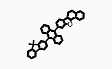 CC1(C)c2ccccc2-c2ccc(-c3c4ccccc4c(-c4ccc5c(c4)oc4c6ccccc6ccc54)c4ccccc34)cc21